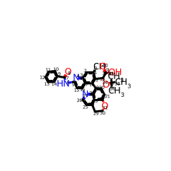 Cc1cc2nc(NC(=O)c3ccccc3)ccc2c(-c2ccc3c4c(ccnc24)CCO3)c1[C@H](OC(C)(C)C)C(=O)O